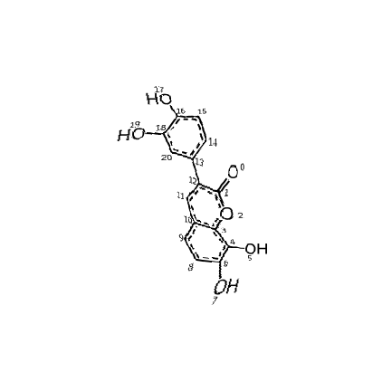 O=c1oc2c(O)c(O)ccc2cc1-c1ccc(O)c(O)c1